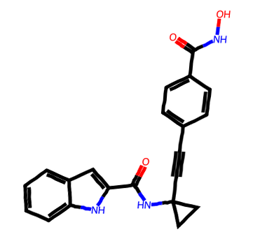 O=C(NO)c1ccc(C#CC2(NC(=O)c3cc4ccccc4[nH]3)CC2)cc1